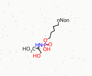 CCCCCCCCCCCCCCOP(=O)(O)N[C@@H](CO)C(=O)O